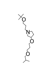 CC(C)COCCCOC1CCN(CCCOC(C)(C)C)C1